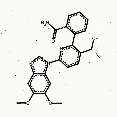 COc1cc2ncn(-c3ccc([C@@H](C)O)c(-c4ccccc4C(N)=O)n3)c2cc1OC